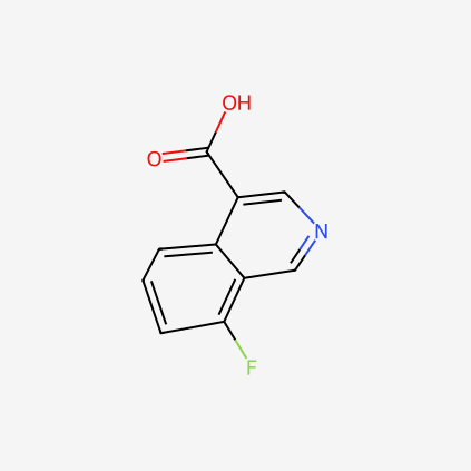 O=C(O)c1cncc2c(F)cccc12